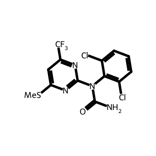 CSc1cc(C(F)(F)F)nc(N(C(N)=O)c2c(Cl)cccc2Cl)n1